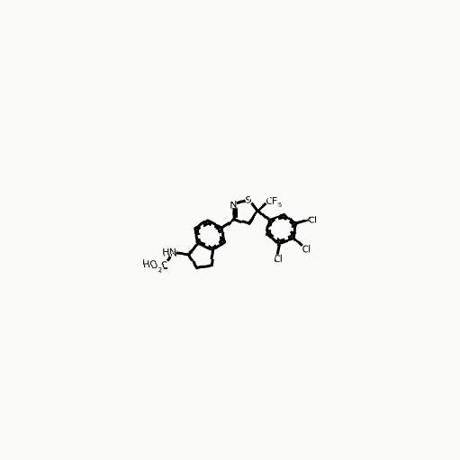 O=C(O)NC1CCc2cc(C3=NSC(c4cc(Cl)c(Cl)c(Cl)c4)(C(F)(F)F)C3)ccc21